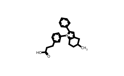 CC1CCc2c(cc(-c3ccccc3)n2-c2cccc(CCC(=O)O)c2)C1